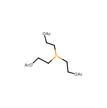 CC(=O)OCCP(CCOC(C)=O)CCOC(C)=O